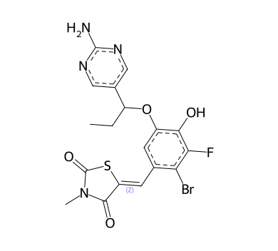 CCC(Oc1cc(/C=C2\SC(=O)N(C)C2=O)c(Br)c(F)c1O)c1cnc(N)nc1